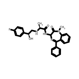 C[C@H](NC[C@@H](O)c1ccc(F)cc1)C(=O)NC1N=C(c2ccccc2)c2ccccc2N(C)C1=O